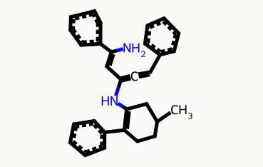 CC1CCC(c2ccccc2)=C(NC(=C=Cc2ccccc2)/C=C(\N)c2ccccc2)C1